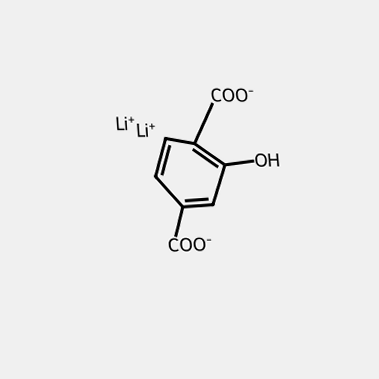 O=C([O-])c1ccc(C(=O)[O-])c(O)c1.[Li+].[Li+]